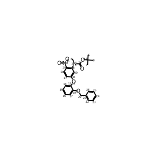 CN(C(=O)OC(C)(C)C)c1cc(Oc2ccccc2OCc2ccccc2)ccc1[N+](=O)[O-]